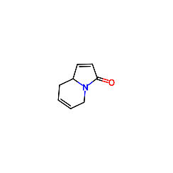 O=C1C=CC2CC=CCN12